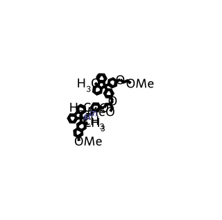 C=c1ccc(OCC(COC)Oc2ccc(C3(C4=CC=C(OCCOC)CC4)c4ccc#cc4C4(C)C=CC=CC43)cc2)c/c1=C/C=C(\C)C1(C2=Cc3ccc(OC)cc3CC2C)c2ccccc2-c2ccccc21